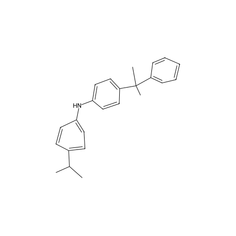 CC(C)c1ccc(Nc2ccc(C(C)(C)c3ccccc3)cc2)cc1